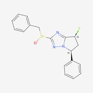 [O-][S+](Cc1ccccc1)c1nc2n(n1)[C@H](c1ccccc1)C[C@@H]2F